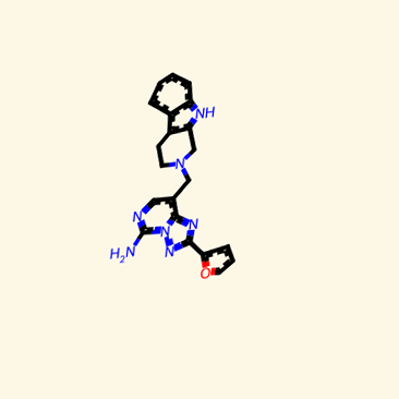 Nc1ncc(CN2CCc3c([nH]c4ccccc34)C2)c2nc(-c3ccco3)nn12